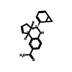 CC(=O)c1ccc2c(c1)[C@@H]1C=CC[C@@H]1[C@H](C1=CC=CC3CC13)N2